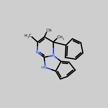 CC1=C(C#N)C(C)(c2ccccc2)N2C(=N1)Nc1ccccc12